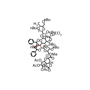 CCCCOCC1O[C@@H](O[C@H](COCCCC)[C@@H](F)OC(COCCCC)[C@H](C)OCCCC)[C@@H](NC(=O)OCC(Cl)(Cl)Cl)C(OCCCC)[C@@H]1O[C@H](OC(CO[C@]1(C(=O)OC)C[C@H]2OC(=O)N[C@H]2C([C@H](OC(C)=O)[C@@H](COC(C)=O)OC(C)=O)O1)[C@@H](C)OCCCC)[C@H](COC(=O)c1ccccc1)OC(=O)c1ccccc1